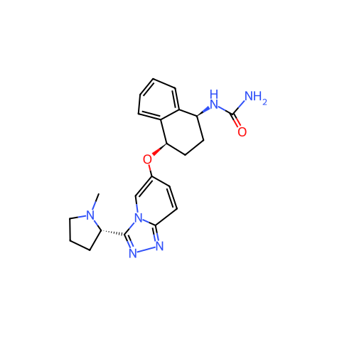 CN1CCC[C@H]1c1nnc2ccc(O[C@@H]3CC[C@H](NC(N)=O)c4ccccc43)cn12